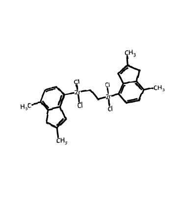 CC1=Cc2[c]([Zr]([Cl])([Cl])[CH2][CH2][Zr]([Cl])([Cl])[c]3ccc(C)c4c3C=C(C)C4)ccc(C)c2C1